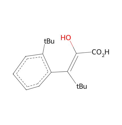 CC(C)(C)C(=C(O)C(=O)O)c1ccccc1C(C)(C)C